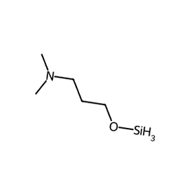 CN(C)CCCO[SiH3]